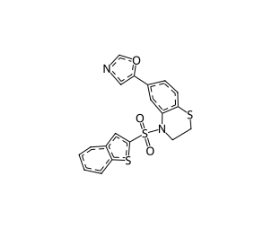 O=S(=O)(c1cc2ccccc2s1)N1CCSc2ccc(-c3cnco3)cc21